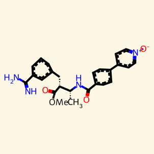 COC(=O)[C@H](Cc1cccc(C(=N)N)c1)[C@@H](C)NC(=O)c1ccc(-c2cc[n+]([O-])cc2)cc1